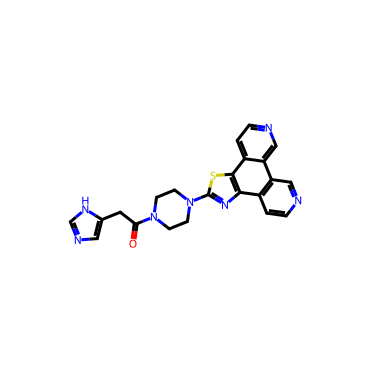 O=C(Cc1cnc[nH]1)N1CCN(c2nc3c4ccncc4c4cnccc4c3s2)CC1